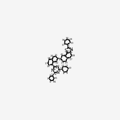 c1ccc(-c2nc(-c3ccccc3)nc(-c3cccc4ccc(-c5ccc6ccc7nc(-c8ccccc8)sc7c6c5)cc34)n2)cc1